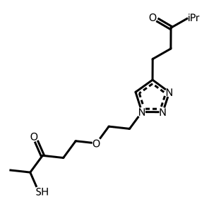 CC(C)C(=O)CCc1cn(CCOCCC(=O)C(C)S)nn1